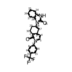 O=c1c2c(ccn1-c1ccc(C(F)(F)F)cc1)C=C(n1c(=O)[nH]c3ccccc31)CC2